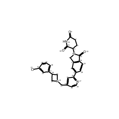 O=C1CCC(N2Cc3cc(-c4cc(CN5CC(c6cccc(Cl)c6)C5)ccn4)ccc3C2=O)C(=O)N1